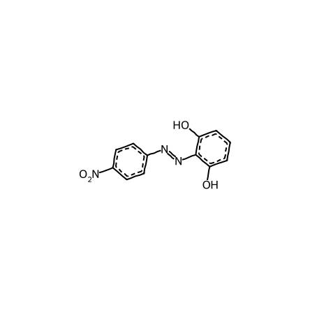 O=[N+]([O-])c1ccc(N=Nc2c(O)cccc2O)cc1